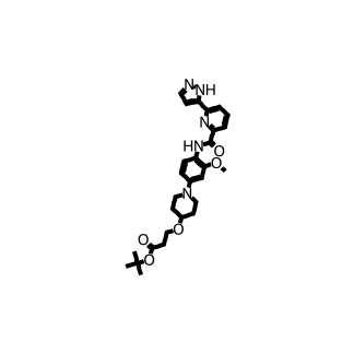 COc1cc(N2CCC(OCCC(=O)OC(C)(C)C)CC2)ccc1NC(=O)c1cccc(-c2ccn[nH]2)n1